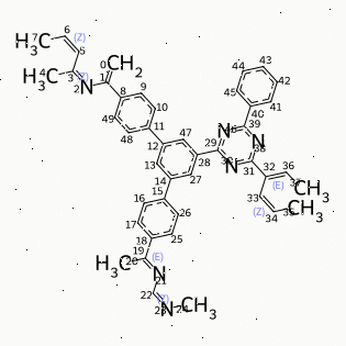 C=C(/N=C(C)\C=C/C)c1ccc(-c2cc(-c3ccc(/C(C)=N/C=N\C)cc3)cc(-c3nc(C(/C=C\C)=C/C)nc(-c4ccccc4)n3)c2)cc1